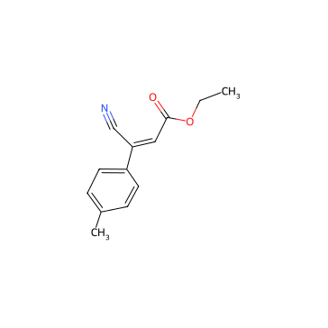 CCOC(=O)C=C(C#N)c1ccc(C)cc1